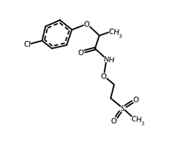 CC(Oc1ccc(Cl)cc1)C(=O)NOCCS(C)(=O)=O